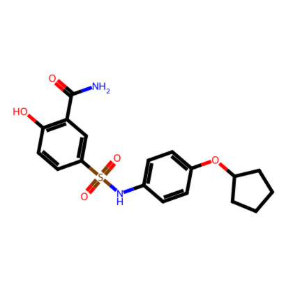 NC(=O)c1cc(S(=O)(=O)Nc2ccc(OC3CCCC3)cc2)ccc1O